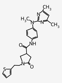 Cc1cc(C)nc(N(C)c2ccc(NC(=O)C3CC(=O)N(CCc4cccs4)C3)cc2)n1